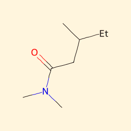 CCC(C)CC(=O)N(C)C